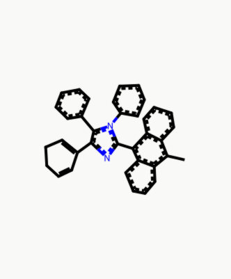 Cc1c2ccccc2c(-c2nc(C3=CCCC=C3)c(-c3ccccc3)n2-c2ccccc2)c2ccccc12